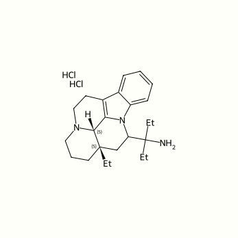 CCC(N)(CC)C1C[C@]2(CC)CCCN3CCc4c(n1c1ccccc41)[C@@H]32.Cl.Cl